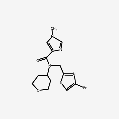 Cn1cnc(C(=O)N(Cc2nc(Br)cs2)C2CCOCC2)c1